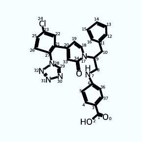 O=C(O)c1ccc(NCC(Cc2ccccc2)n2ccc(-c3cc(Cl)ccc3-n3cnnn3)cc2=O)cc1